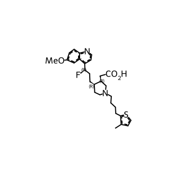 COc1ccc2nccc([C@H](F)CC[C@@H]3CCN(CCCCc4sccc4C)C[C@@H]3CC(=O)O)c2c1